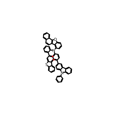 c1ccc(-n2c3ccccc3c3cc(-c4ccc(N(c5ccccc5-c5ccc6c(c5)sc5ccccc56)c5cccc6oc7c8ccccc8ccc7c56)cc4)ccc32)cc1